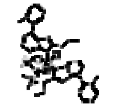 CCCC1=Cc2c(-c3ccccc3C)cccc2[CH]1[Zr]([Cl])([Cl])([BH]N([Si](C)(C)C)[Si](C)(C)C)[CH]1C(CCC)=Cc2c(-c3ccccc3C)cccc21